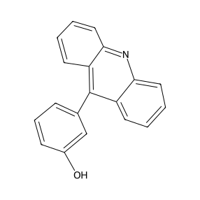 Oc1cccc(-c2c3ccccc3nc3ccccc23)c1